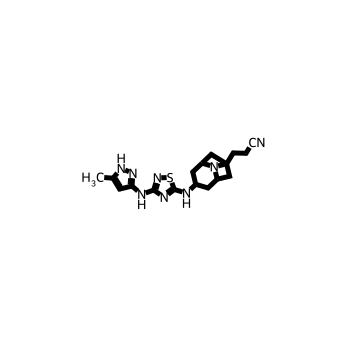 Cc1cc(Nc2nsc(NC3CC4CC5(CCC#N)CC(C3)N45)n2)n[nH]1